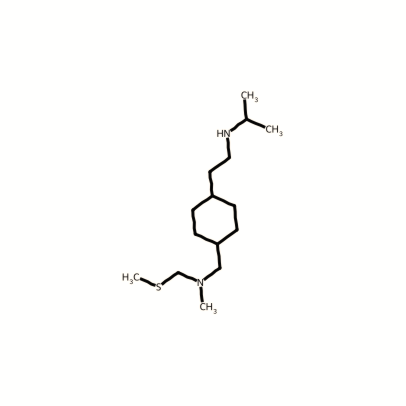 CSCN(C)CC1CCC(CCNC(C)C)CC1